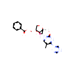 Cc1cn([C@@H]2O[C@@]3(COC(=O)c4ccccc4)CO[C@H]2C3I)c(=O)nc1-n1cncn1